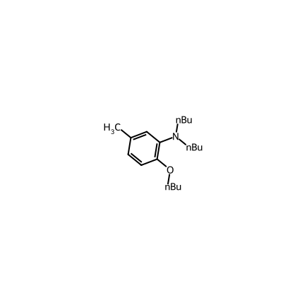 CCCCOc1ccc(C)cc1N(CCCC)CCCC